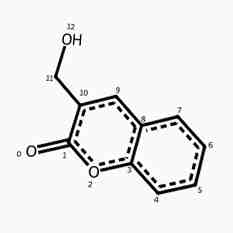 O=c1oc2ccccc2cc1CO